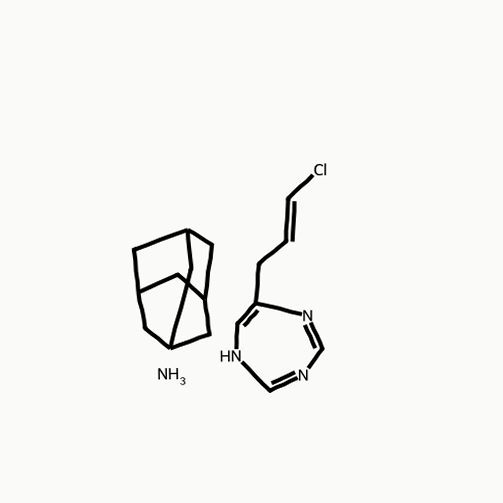 C1C2CC3CC1CC(C2)C3.ClC=CCC1=CNC=NC=N1.N